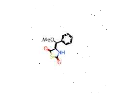 COC(=C1NC(=O)SC1=O)c1ccccc1